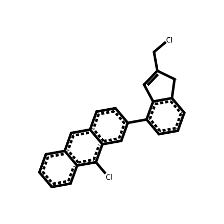 ClCC1=Cc2c(cccc2-c2ccc3cc4ccccc4c(Cl)c3c2)[CH]1